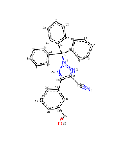 N#Cc1nn(C(c2ccccc2)(c2ccccc2)c2ccccc2)nc1-c1cccc(C=O)c1